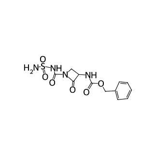 NS(=O)(=O)NC(=O)N1CC(NC(=O)OCc2ccccc2)C1=O